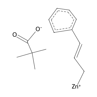 CC(C)(C)C(=O)[O-].[Zn+][CH2]C=Cc1ccccc1